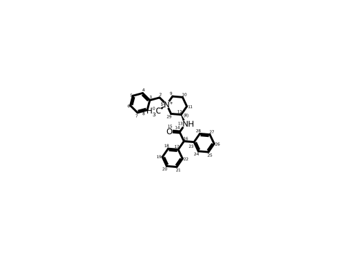 C[N@@+]1(Cc2ccccc2)CCC[C@@H](NC(=O)C(c2ccccc2)c2ccccc2)C1